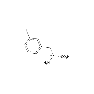 N[C@H](Cc1cccc(I)c1)C(=O)O